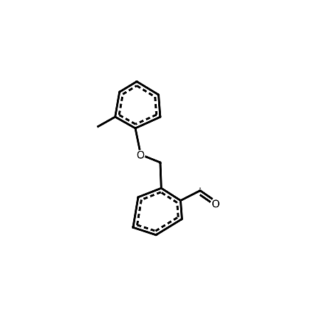 Cc1ccccc1OCc1ccccc1[C]=O